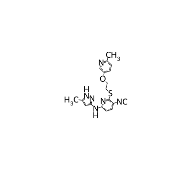 [C-]#[N+]c1ccc(Nc2cc(C)[nH]n2)nc1SCCOc1ccc(C)nc1